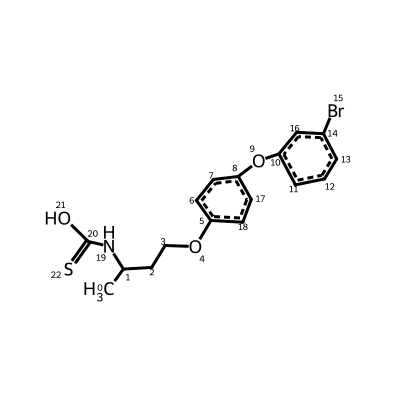 CC(CCOc1ccc(Oc2cccc(Br)c2)cc1)NC(O)=S